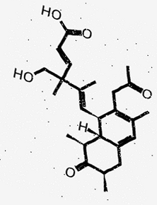 CC(=O)CC1=C(C)C=C2C[C@@H](C)C(=O)[C@@H](C)[C@@H]2[C@H]1/C=C(\C)C(C)(/C=C/C(=O)O)CO